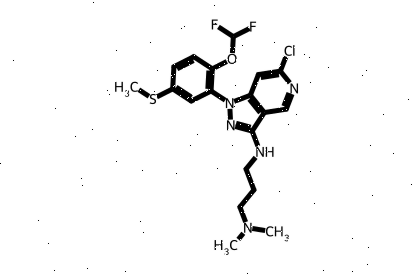 CSc1ccc(OC(F)F)c(-n2nc(NCCCN(C)C)c3cnc(Cl)cc32)c1